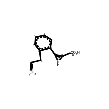 C=CCc1ccccc1C1=C(C(=O)O)N1